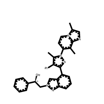 Cc1c(-n2nc(-c3cccc4nn(C[C@H](O)c5ccccc5)cc34)c(C(C)C)c2C)ccn2c(C)cnc12